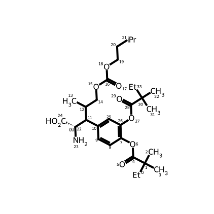 CCC(C)(C)C(=O)Oc1ccc(C(C(C)COC(=O)OCCC(C)C)[C@H](N)C(=O)O)cc1OC(=O)C(C)(C)CC